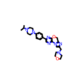 CC(C)N1CCN(c2ccc(-c3cnc4c(n3)OCc3nc(CN5CCOCC5)cn3-4)cc2)CC1